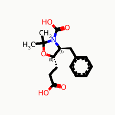 CC1(C)O[C@@H](CCC(=O)O)[C@H](Cc2ccccc2)N1C(=O)O